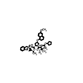 C=C[C@@H]1C[C@]1(NC(=O)[C@@H]1C[C@@H](Oc2cccc3cc(OC)ccc23)CN1C(=O)C(NC(=O)OC1CCCC1)C(C)(C)C)P(=O)(O)Cc1ccccc1